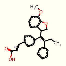 CC/C(=C(/c1ccc(/C=C/C(=O)O)cc1)C1COc2c(OC)cccc21)c1ccccc1